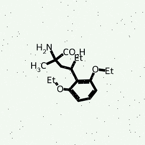 CCOc1cccc(OCC)c1C(CC)CC(C)(N)C(=O)O